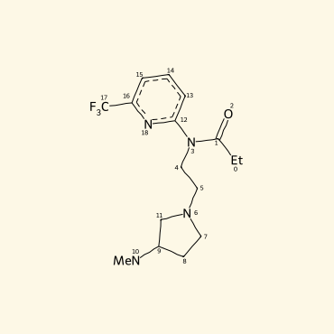 CCC(=O)N(CCN1CCC(NC)C1)c1cccc(C(F)(F)F)n1